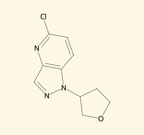 Clc1ccc2c(cnn2C2CCOC2)n1